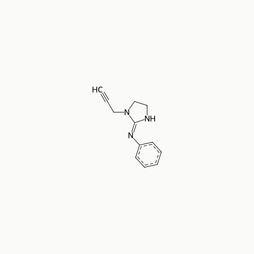 C#CCN1CCN/C1=N\c1ccccc1